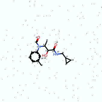 Cc1cccc(N(C=O)C(C)C(O)C(=O)NCC2CC2)c1